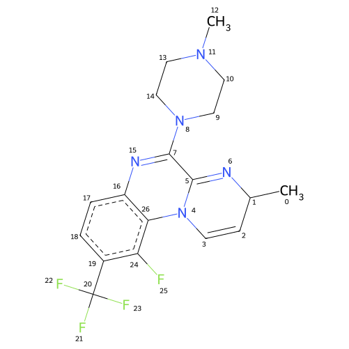 CC1C=CN2C(=N1)C(N1CCN(C)CC1)=Nc1ccc(C(F)(F)F)c(F)c12